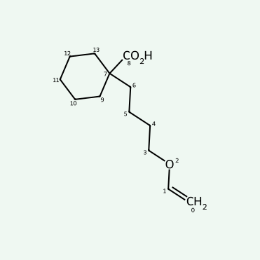 C=COCCCCC1(C(=O)O)CCCCC1